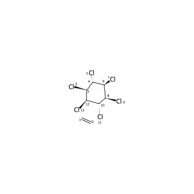 C=C.Cl[C@H]1[C@H](Cl)[C@@H](Cl)[C@@H](Cl)[C@H](Cl)[C@H]1Cl